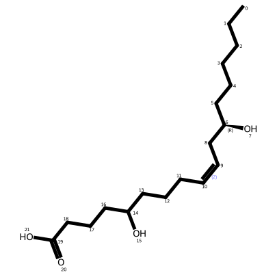 CCCCCC[C@@H](O)C/C=C\CCCC(O)CCCC(=O)O